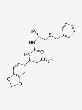 CC(C)[C@@H](CSCc1ccccc1)NC(=O)NC(CC(=O)O)c1ccc2c(c1)OCO2